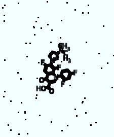 CN(C)C1CCN(c2c(F)cc3c(=O)c(C(=O)O)cn(-c4ccc(F)cc4F)c3c2F)C1